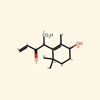 C=CC(=O)C(C(=O)O)C1=C(C)C(O)CCC1(C)C